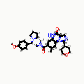 COc1ccc(CN2CCC[C@@H]2CN(C)C(=O)c2cc3[nH]c(=O)c4cnc(C5CCOCC5)n4c3cc2C)cc1